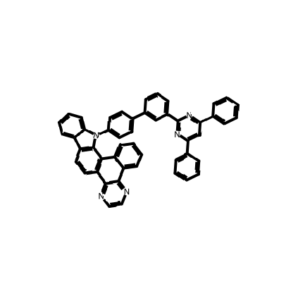 c1ccc(-c2cc(-c3ccccc3)nc(-c3cccc(-c4ccc(-n5c6ccccc6c6ccc7c8nccnc8c8ccccc8c7c65)cc4)c3)n2)cc1